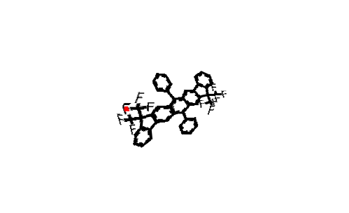 FC(F)(F)C1(C(F)(F)F)c2ccccc2-c2cc3c(-c4ccccc4)c4cc5c(cc4c(-c4ccccc4)c3cc21)-c1ccccc1C5(C(F)(F)F)C(F)(F)F